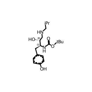 CC(C)CNC[C@@H](O)[C@H](Cc1ccc(O)cc1)NC(=O)OC(C)(C)C